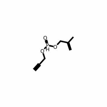 C#CCO[PH](=O)OCC(=C)C